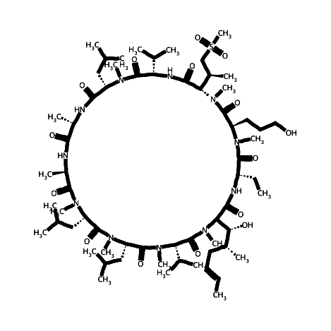 C/C=C/C[C@@H](C)[C@@H](O)C1C(=O)N[C@@H](CC)C(=O)N(C)[C@H](CCCO)C(=O)N(C)[C@@H]([C@H](C)CS(C)(=O)=O)C(=O)N[C@@H](C(C)C)C(=O)N(C)[C@@H](CC(C)C)C(=O)N[C@@H](C)C(=O)N[C@H](C)C(=O)N(C)[C@@H](CC(C)C)C(=O)N(C)[C@@H](CC(C)C)C(=O)N(C)[C@@H](C(C)C)C(=O)N1C